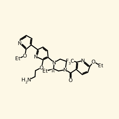 CCOc1ccc(C(=O)N2CCN(c3ccc(-c4cccnc4OCC)nc3OCCN)[C@H](CC)C2)c(C(F)(F)F)n1